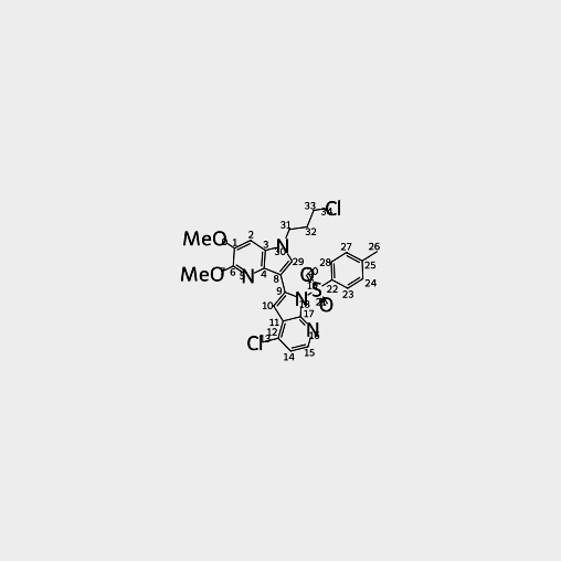 COc1cc2c(nc1OC)c(-c1cc3c(Cl)ccnc3n1S(=O)(=O)c1ccc(C)cc1)cn2CCCCl